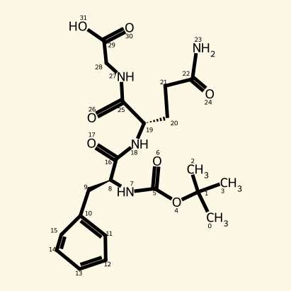 CC(C)(C)OC(=O)N[C@@H](Cc1ccccc1)C(=O)N[C@@H](CCC(N)=O)C(=O)NCC(=O)O